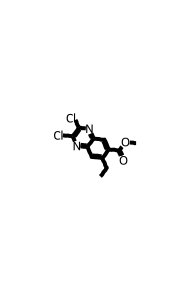 CCc1cc2nc(Cl)c(Cl)nc2cc1C(=O)OC